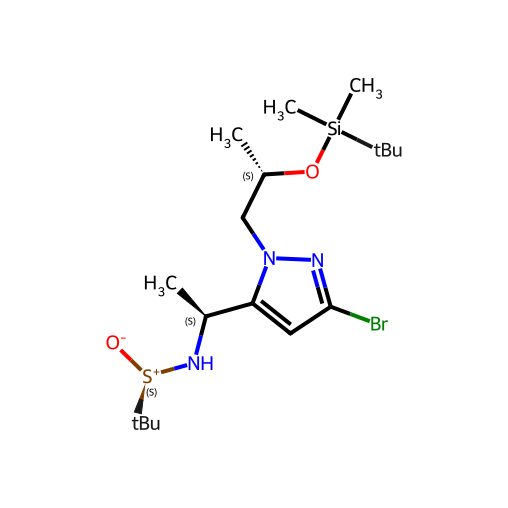 C[C@H](N[S@+]([O-])C(C)(C)C)c1cc(Br)nn1C[C@H](C)O[Si](C)(C)C(C)(C)C